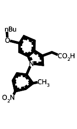 CCCCOc1ccc2c(CC(=O)O)cn(-c3ccc([N+](=O)[O-])cc3C)c2c1